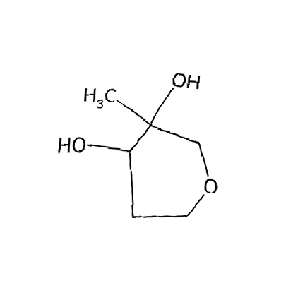 CC1(O)COCCC1O